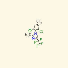 Cc1nc(C(F)(F)C(F)F)cn1-c1c(Cl)cc(C(F)(F)F)cc1Cl